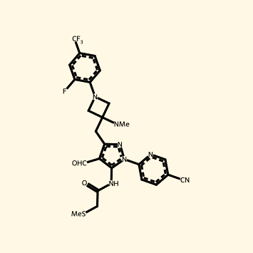 CNC1(Cc2nn(-c3ccc(C#N)cn3)c(NC(=O)CSC)c2C=O)CN(c2ccc(C(F)(F)F)cc2F)C1